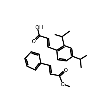 CC(C)c1ccc(C=CC(=O)O)c(C(C)C)c1.COC(=O)C=Cc1ccccc1